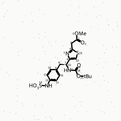 COC(=O)Cc1nc([C@H](Cc2ccc(NS(=O)(=O)O)cc2)NC(=O)OC(C)(C)C)cs1